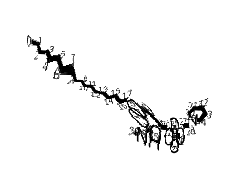 CCCCCCCCCCCCCCCCCCOCC(COP(=O)([O-])OCC[n+]1ccccc1)OC(=O)NC